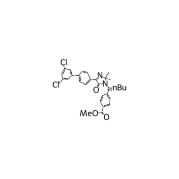 CCCC[C@H](c1ccc(C(=O)OC)cc1)N1C(=O)C(c2ccc(-c3cc(Cl)cc(Cl)c3)cc2)=NC1(C)C